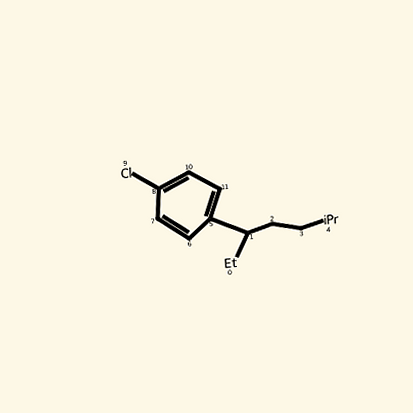 CCC(CCC(C)C)c1ccc(Cl)cc1